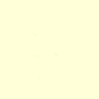 CC(C)(C)Nc1nc(C=O)cc2cccnc12